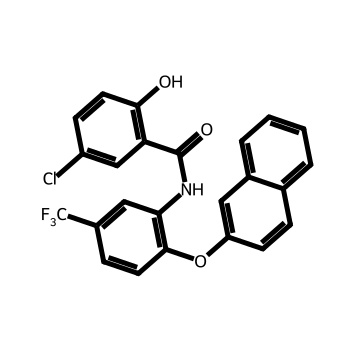 O=C(Nc1cc(C(F)(F)F)ccc1Oc1ccc2ccccc2c1)c1cc(Cl)ccc1O